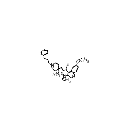 COc1ccc2ncc(N(C)C)c([C@@H](F)CCC3(CO)CCN(CCCc4ccccc4)CC3)c2c1